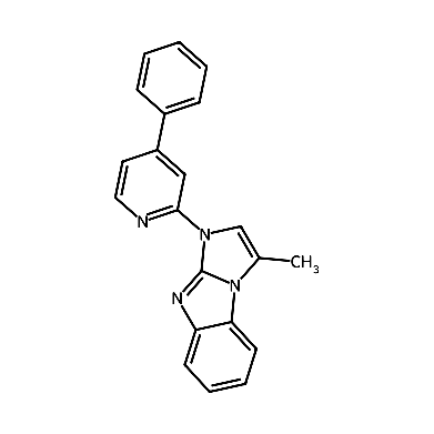 Cc1cn(-c2cc(-c3ccccc3)ccn2)c2nc3ccccc3n12